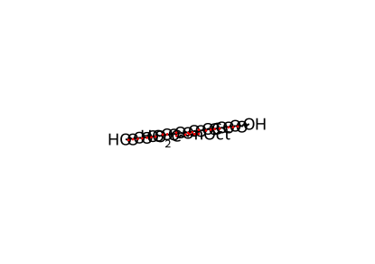 CCCCCCCCC=CCCCCCCCC(=O)O.OCCOCCOCCOCCOCCOCCOCCOCCOCCOCCOCCOCCOCCOCCOCCOCCOCCOCCO